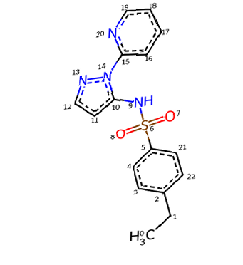 CCc1ccc(S(=O)(=O)Nc2ccnn2-c2ccccn2)cc1